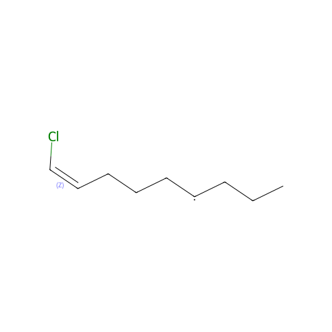 CCC[CH]CCC/C=C\Cl